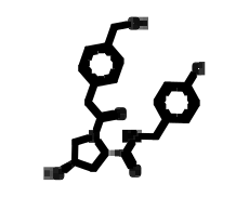 O=C(NCc1ccc(Cl)cc1)[C@@H]1C[C@@H](O)CN1C(=O)Cc1ccc(CO)cc1